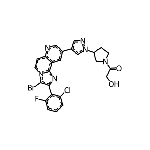 O=C(CO)N1CCC(n2cc(-c3cnc4ccn5c(Br)c(-c6c(F)cccc6Cl)nc5c4c3)cn2)C1